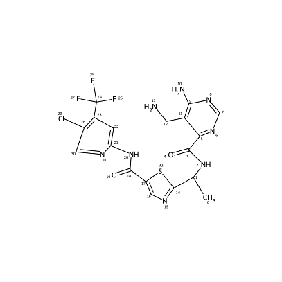 CC(NC(=O)c1ncnc(N)c1CN)c1ncc(C(=O)Nc2cc(C(F)(F)F)c(Cl)cn2)s1